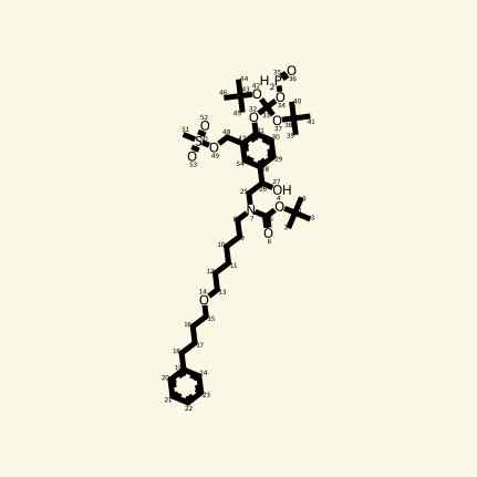 CC(C)(C)OC(=O)N(CCCCCCOCCCCc1ccccc1)CC(O)c1ccc(OC(O[PH2]=O)(OC(C)(C)C)OC(C)(C)C)c(COS(C)(=O)=O)c1